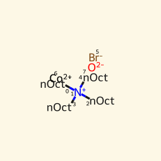 CCCCCCCC[N+](CCCCCCCC)(CCCCCCCC)CCCCCCCC.[Br-].[Co+2].[O-2]